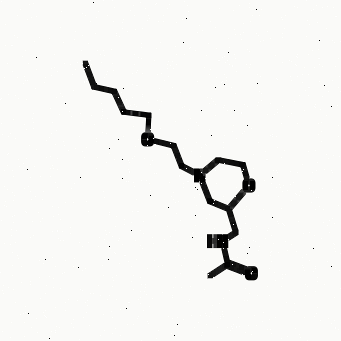 CCCCCOCCN1CCOC(CNC(C)=O)C1